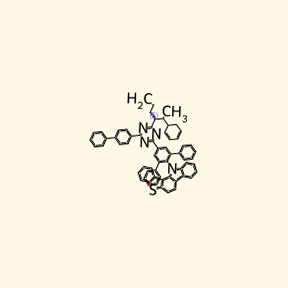 C=C/C=C(/c1nc(-c2ccc(-c3ccccc3)cc2)nc(-c2cc(-c3ccccc3)c(-n3c4ccccc4c4ccc5sc6ccccc6c5c43)c(-c3ccccc3)c2)n1)C(C)C1C=CC=CC1